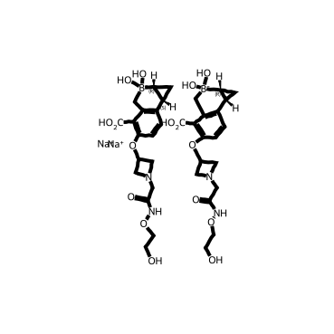 O=C(CN1CC(Oc2ccc3c(c2C(=O)O)C[B-](O)(O)[C@@H]2C[C@H]32)C1)NOCCO.O=C(CN1CC(Oc2ccc3c(c2C(=O)O)C[B-](O)(O)[C@@H]2C[C@H]32)C1)NOCCO.[Na+].[Na+]